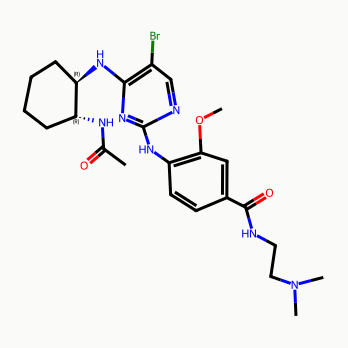 COc1cc(C(=O)NCCN(C)C)ccc1Nc1ncc(Br)c(N[C@@H]2CCCC[C@H]2NC(C)=O)n1